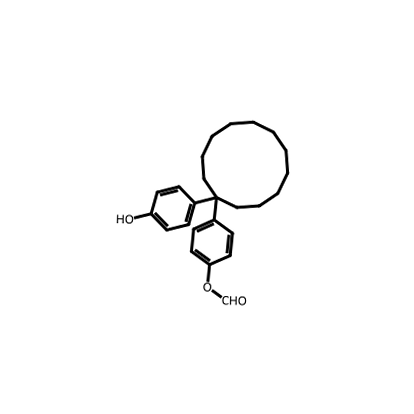 O=COc1ccc(C2(c3ccc(O)cc3)CCCCCCCCCCC2)cc1